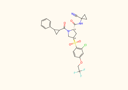 N#CC1(NC(=O)[C@@H]2C[C@@H](S(=O)(=O)c3ccc(OCC(F)(F)F)cc3Cl)CN2C(=O)C2CC2c2ccccc2)CC1